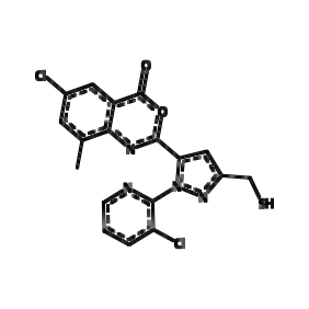 Cc1cc(Cl)cc2c(=O)oc(-c3cc(CS)nn3-c3ncccc3Cl)nc12